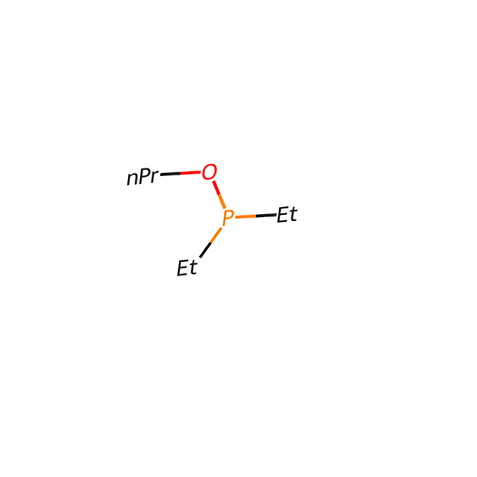 CCCOP(CC)CC